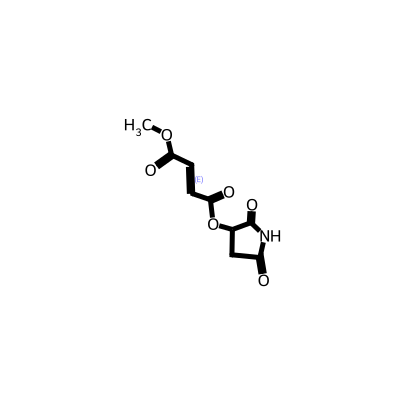 COC(=O)/C=C/C(=O)OC1CC(=O)NC1=O